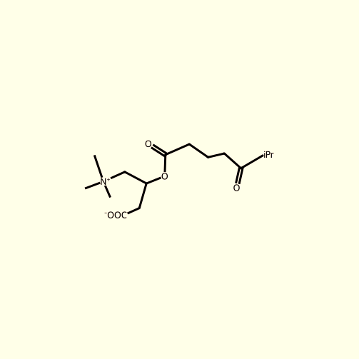 CC(C)C(=O)CCCC(=O)OC(CC(=O)[O-])C[N+](C)(C)C